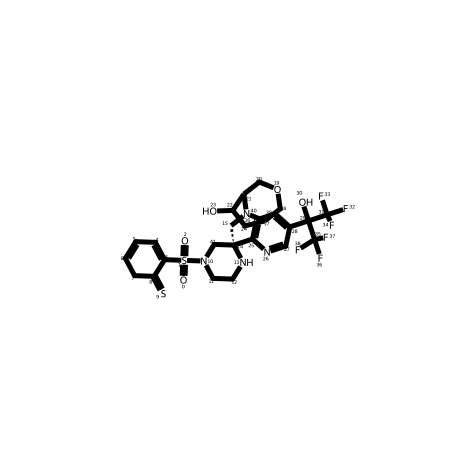 O=S(=O)(C1=CC=CCC1=S)N1CCN[C@](CN2C3COCC2C(O)C3)(c2ncc(C(O)(C(F)(F)F)C(F)(F)F)cn2)C1